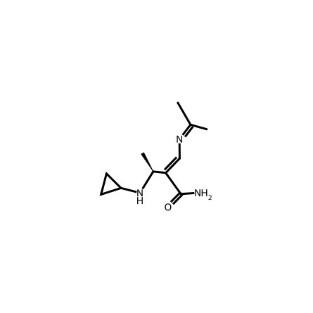 CC(C)=N/C=C(/C(N)=O)[C@H](C)NC1CC1